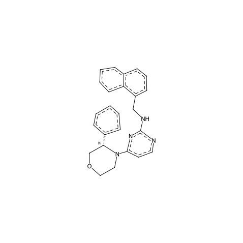 c1ccc([C@H]2COCCN2c2ccnc(NCc3cccc4ccccc34)n2)cc1